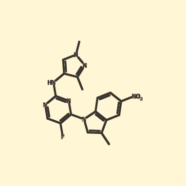 Cc1nn(C)cc1Nc1ncc(F)c(-n2cc(C)c3cc([N+](=O)[O-])ccc32)n1